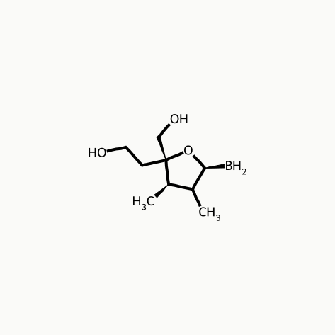 B[C@@H]1O[C@@](CO)(CCO)[C@H](C)C1C